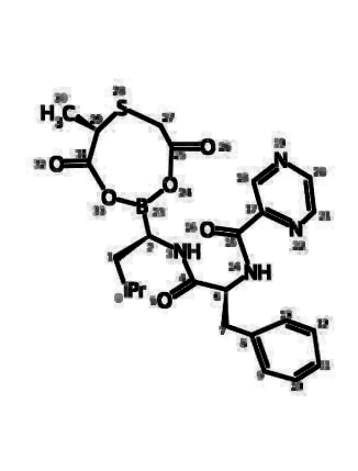 CC(C)C[C@H](NC(=O)[C@H](Cc1ccccc1)NC(=O)c1cnccn1)B1OC(=O)CS[C@H](C)C(=O)O1